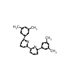 Cc1cc(C)cc(-c2cccc(-c3cccc(-c4cc(C)cc(C)c4)n3)n2)c1